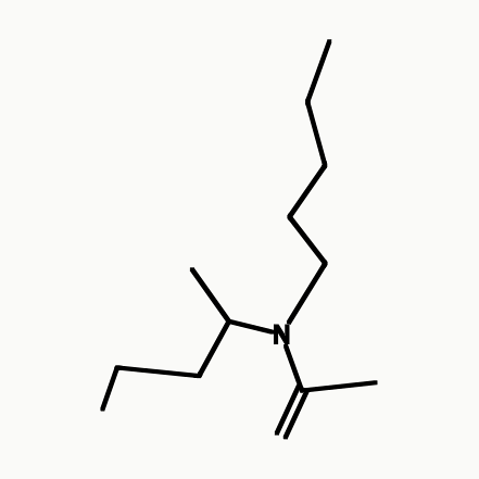 C=C(C)N(CCCCC)C(C)CCC